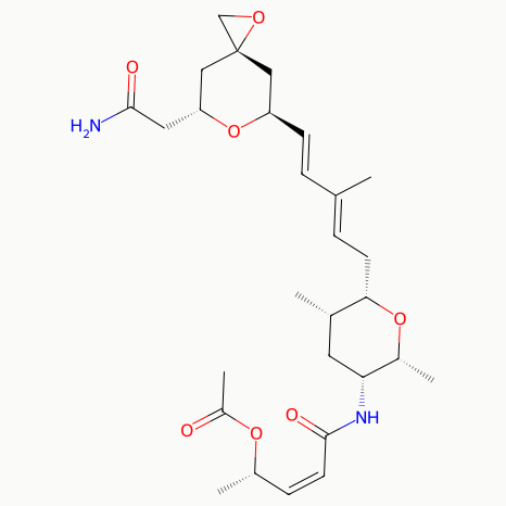 CC(=O)O[C@@H](C)/C=C\C(=O)N[C@@H]1C[C@H](C)[C@H](C/C=C(C)/C=C/[C@@H]2C[C@]3(CO3)C[C@@H](CC(N)=O)O2)O[C@@H]1C